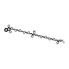 NC(=O)CCOCCOCCOCCOCCCCNC(=O)CCOCCOCCOCCOCCON1C(=O)c2ccccc2C1=O